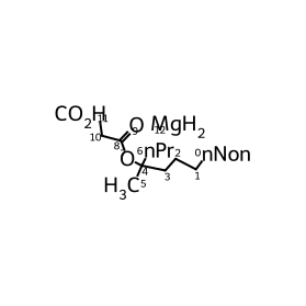 CCCCCCCCCCCCC(C)(CCC)OC(=O)CC(=O)O.[MgH2]